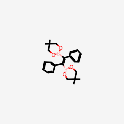 CC1(C)COB(C(=C(B2OCC(C)(C)CO2)c2ccccc2)c2ccccc2)OC1